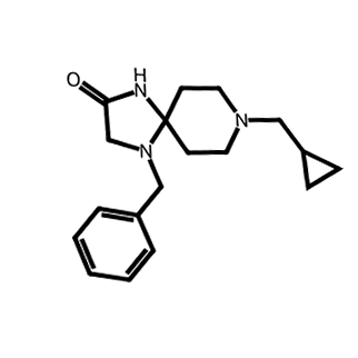 O=C1CN(Cc2ccccc2)C2(CCN(CC3CC3)CC2)N1